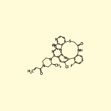 C=CC(=O)N1CCN(c2nc(=O)n3c4nc(c(Cl)cc24)-c2c(F)cccc2NC(=O)CSc2ccnc(C(C)C)c2-3)[C@@H](C)C1